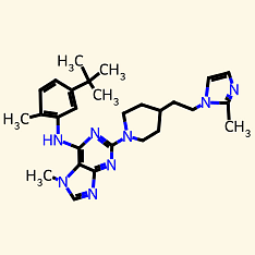 Cc1ccc(C(C)(C)C)cc1Nc1nc(N2CCC(CCn3ccnc3C)CC2)nc2ncn(C)c12